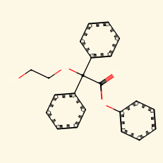 O=C(Oc1ccccc1)C(OCCO)(c1ccccc1)c1ccccc1